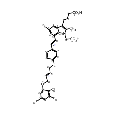 Cc1c(CCCC(=O)O)c2cc(F)cc(/C=C/c3ccc(OC/C=C/COc4cc(F)cc(F)c4Cl)cc3)c2n1CC(=O)O